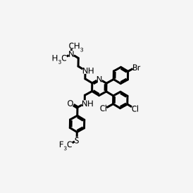 CN(C)CCNCc1nc(-c2ccc(Br)cc2)c(-c2ccc(Cl)cc2Cl)cc1CNC(=O)c1ccc(SC(F)(F)F)cc1